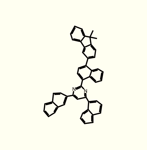 CC1(C)c2ccccc2-c2cc(-c3ccc(-c4nc(-c5ccc6ccccc6c5)cc(-c5cccc6ccccc56)n4)c4ccccc34)ccc21